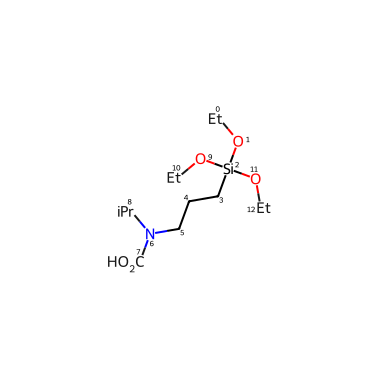 CCO[Si](CCCN(C(=O)O)C(C)C)(OCC)OCC